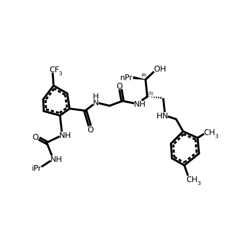 CCC[C@@H](O)[C@H](CNCc1ccc(C)cc1C)NC(=O)CNC(=O)c1cc(C(F)(F)F)ccc1NC(=O)NC(C)C